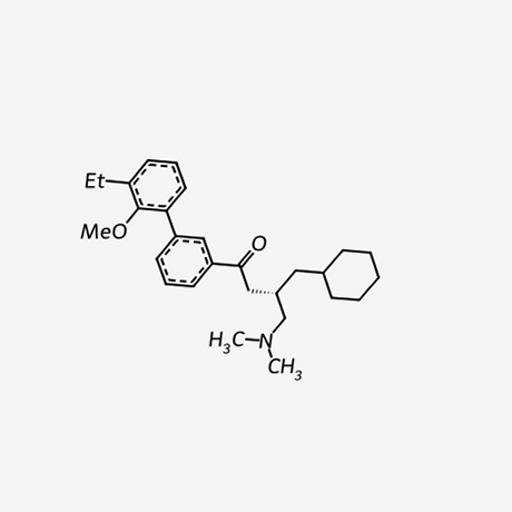 CCc1cccc(-c2cccc(C(=O)C[C@H](CC3CCCCC3)CN(C)C)c2)c1OC